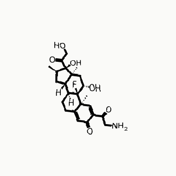 C[C@@H]1C[C@H]2[C@@H]3CCC4=CC(=O)C(C(=O)CN)=C[C@]4(C)[C@@]3(F)[C@@H](O)C[C@]2(C)[C@@]1(O)C(=O)CO